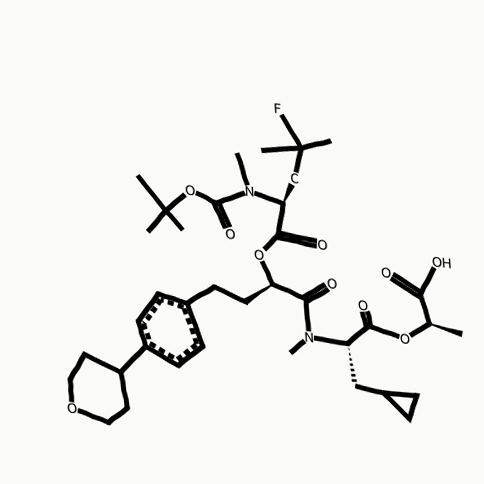 C[C@@H](OC(=O)[C@H](CC1CC1)N(C)C(=O)[C@@H](CCc1ccc(C2CCOCC2)cc1)OC(=O)[C@H](CC(C)(C)F)N(C)C(=O)OC(C)(C)C)C(=O)O